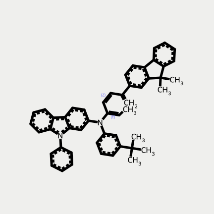 C=C(/C=C\C(=C/C)N(c1cccc(C(C)(C)C)c1)c1ccc2c3ccccc3n(-c3ccccc3)c2c1)c1ccc2c(c1)C(C)(C)c1ccccc1-2